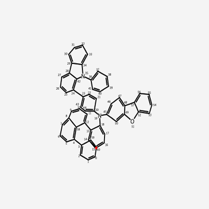 c1ccc(-c2cccc3cccc(-c4ccccc4N(c4ccc(-c5cccc6c7ccccc7n(-c7ccccc7)c56)cc4)c4ccc5c(c4)oc4ccccc45)c23)cc1